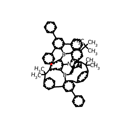 CC(C)(C)c1cc2c3c(c1)c1cc4cc5c1n3-c1c(cc3cc1B5c1c(cc(-c5ccccc5)cc1-c1ccc(cc1)C4(C)C)-c1ccc(cc1)C3(C)C)B2c1c(-c2ccccc2)cc(-c2ccccc2)cc1-c1ccccc1